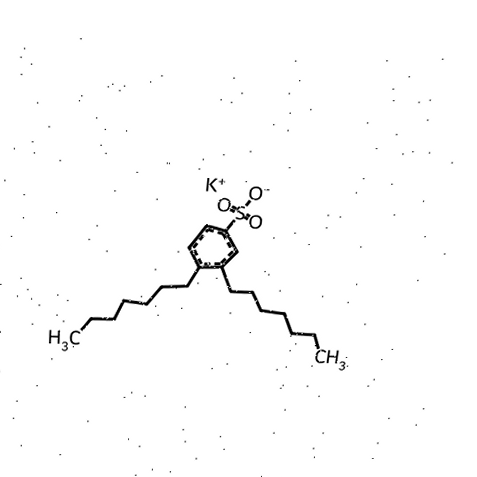 CCCCCCCc1ccc(S(=O)(=O)[O-])cc1CCCCCCC.[K+]